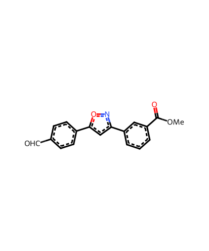 COC(=O)c1cccc(-c2cc(-c3ccc(C=O)cc3)on2)c1